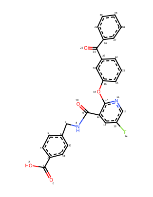 O=C(O)c1ccc(CNC(=O)c2cc(F)cnc2Oc2cccc(C(=O)c3ccccc3)c2)cc1